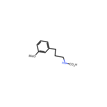 COc1cccc(CCCNC(=O)O)c1